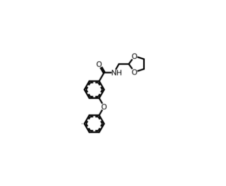 O=C(NCC1OCCO1)c1cccc(Oc2c[c]ccc2)c1